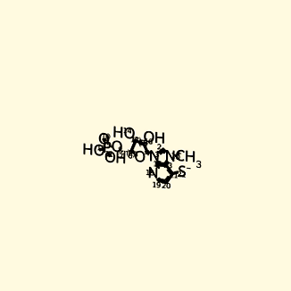 C[n+]1cn(C2O[C@H](COP(=O)(O)O)[C@@H](O)[C@H]2O)c2nccc([S-])c21